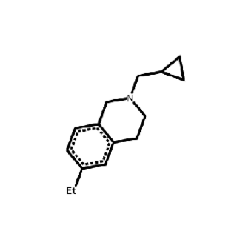 CCc1ccc2c(c1)CCN(CC1CC1)C2